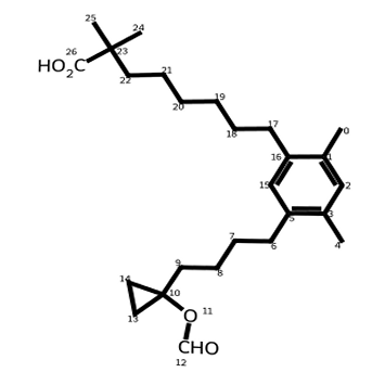 Cc1cc(C)c(CCCCC2(OC=O)CC2)cc1CCCCCCC(C)(C)C(=O)O